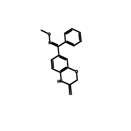 CON=C(c1ccccc1)c1ccc2c(c1)OCC(=O)N2